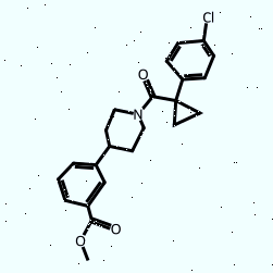 COC(=O)c1cccc(C2CCN(C(=O)C3(c4ccc(Cl)cc4)CC3)CC2)c1